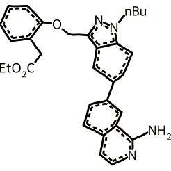 CCCCn1nc(COc2ccccc2CC(=O)OCC)c2cc(-c3ccc4ccnc(N)c4c3)ccc21